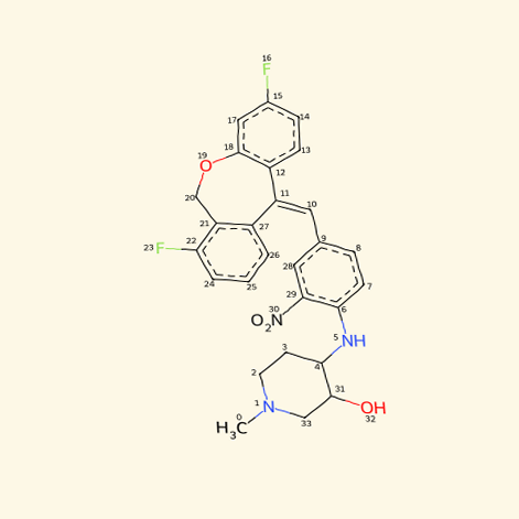 CN1CCC(Nc2ccc(C=C3c4ccc(F)cc4OCc4c(F)cccc43)cc2[N+](=O)[O-])C(O)C1